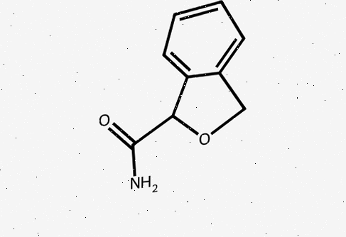 NC(=O)C1OCc2ccccc21